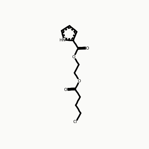 O=C(CCCCl)OCCOC(=O)c1ccc[nH]1